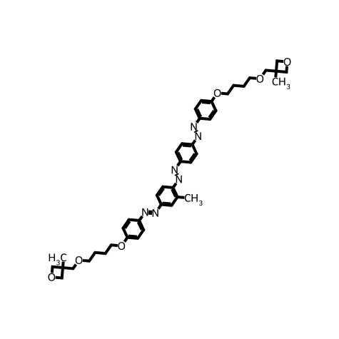 Cc1cc(/N=N/c2ccc(OCCCCOCC3(C)COC3)cc2)ccc1/N=N/c1ccc(/N=N/c2ccc(OCCCCOCC3(C)COC3)cc2)cc1